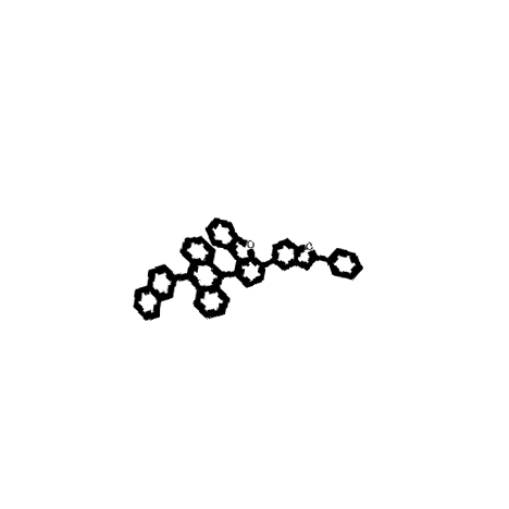 c1ccc(-c2cc3cc(-c4ccc(-c5c6ccccc6c(-c6ccc7ccccc7c6)c6ccccc56)c5c4oc4ccccc45)ccc3o2)cc1